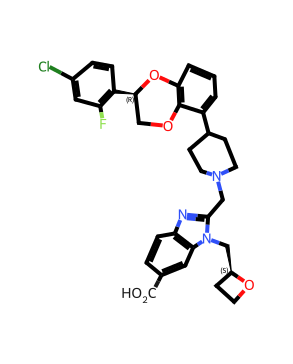 O=C(O)c1ccc2nc(CN3CCC(c4cccc5c4OC[C@@H](c4ccc(Cl)cc4F)O5)CC3)n(C[C@@H]3CCO3)c2c1